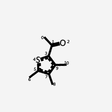 CC(=O)c1sc(C)c(C)c1C